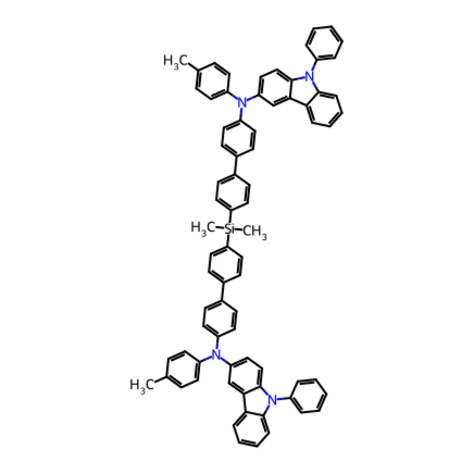 Cc1ccc(N(c2ccc(-c3ccc([Si](C)(C)c4ccc(-c5ccc(N(c6ccc(C)cc6)c6ccc7c(c6)c6ccccc6n7-c6ccccc6)cc5)cc4)cc3)cc2)c2ccc3c(c2)c2ccccc2n3-c2ccccc2)cc1